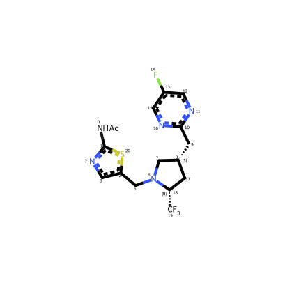 CC(=O)Nc1ncc(CN2C[C@H](Cc3ncc(F)cn3)C[C@@H]2C(F)(F)F)s1